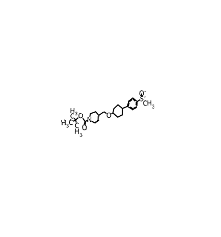 C[S+]([O-])c1ccc(C2CCC(OCC3CCN(C(=O)OC(C)(C)C)CC3)CC2)cc1